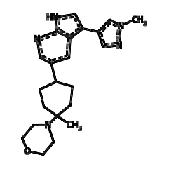 Cn1cc(-c2c[nH]c3ncc(C4CCC(C)(N5CCOCC5)CC4)cc23)cn1